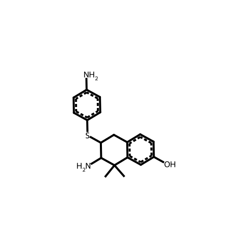 CC1(C)c2cc(O)ccc2CC(Sc2ccc(N)cc2)C1N